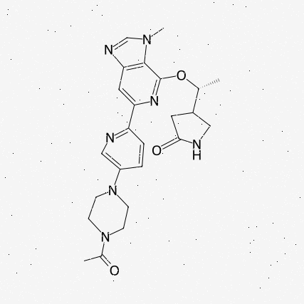 CC(=O)N1CCN(c2ccc(-c3cc4ncn(C)c4c(O[C@H](C)C4CNC(=O)C4)n3)nc2)CC1